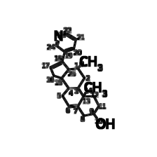 CC1CC2C(CC=C3CC(O)CCC32C)C2CC=C(c3cccnc3)C12